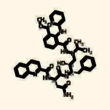 COC(=O)c1cccc(C(=O)NN(C[C@@H](O)[C@H](Cc2ccccc2)NC(=O)[C@H](CC(N)=O)NC(=O)c2ccc3ccccc3n2)C(C)C)c1Nc1ccccn1